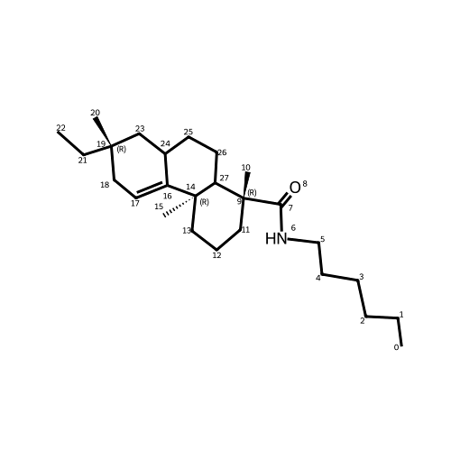 CCCCCCNC(=O)[C@]1(C)CCC[C@@]2(C)C3=CC[C@](C)(CC)CC3CCC12